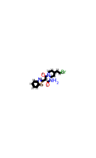 NC(=O)[C@@H](C(=O)N1CCC(CCBr)CC1)c1nc2ccccc2s1